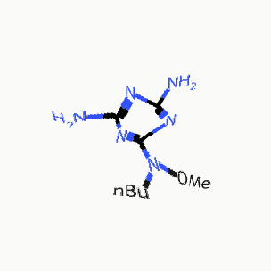 CCCCN(OC)c1nc(N)nc(N)n1